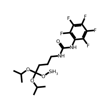 CC(C)OC(CCCNC(=O)Nc1c(F)c(F)c(F)c(F)c1F)(O[SiH3])OC(C)C